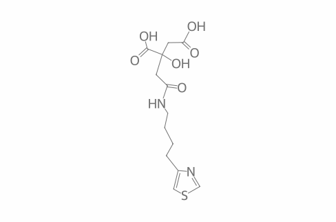 O=C(O)CC(O)(CC(=O)NCCCCc1cscn1)C(=O)O